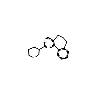 c1ccc2c(c1)CCCc1cnc(C3CCCNC3)nc1-2